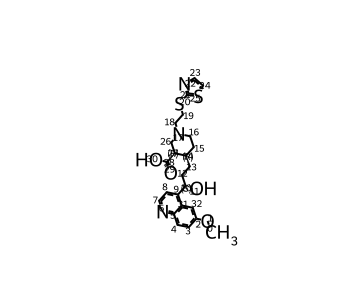 COc1ccc2nccc([C@@H](O)CC[C@@H]3CCN(CCSc4nccs4)C[C@@H]3C(=O)O)c2c1